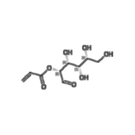 C=CC(=O)O[C@@H](C=O)[C@H](O)[C@@H](O)[C@H](O)CO